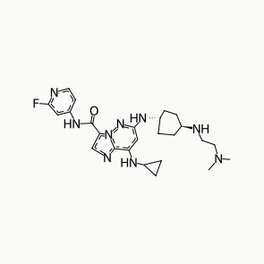 CN(C)CCN[C@H]1CC[C@H](Nc2cc(NC3CC3)c3ncc(C(=O)Nc4ccnc(F)c4)n3n2)CC1